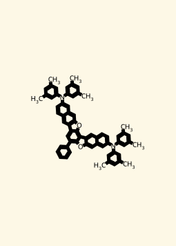 Cc1cc(C)cc(N(c2cc(C)cc(C)c2)c2ccc3cc4c(cc3c2)oc2c4cc(-c3ccccc3)c3oc4cc5cc(N(c6cc(C)cc(C)c6)c6cc(C)cc(C)c6)ccc5cc4c32)c1